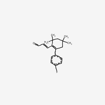 CC1(C)CC(c2ccc(F)cc2)=C(C=CC=O)C(C)(C)C1